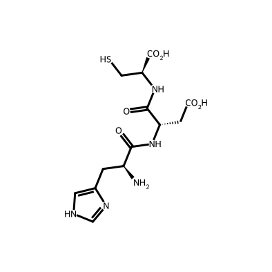 N[C@@H](Cc1c[nH]cn1)C(=O)N[C@@H](CC(=O)O)C(=O)N[C@@H](CS)C(=O)O